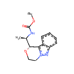 C[C@@H](NC(=O)OC(C)(C)C)[C@H]1OCCn2nc3ccccc3c21